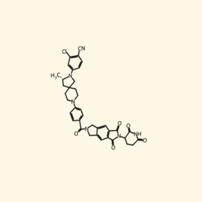 C[C@H]1CC2(CCN(c3ccc(C(=O)N4Cc5cc6c(cc5C4)C(=O)N(C4CCC(=O)NC4=O)C6=O)cc3)CC2)CN1c1ccc(C#N)c(Cl)c1